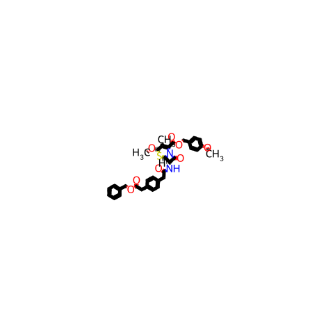 COc1ccc(COC(=O)C2=C(C)[C@@H](OC)S[C@@H]3[C@@H](NC(=O)Cc4ccc(CC(=O)OCc5ccccc5)cc4)C(=O)N23)cc1